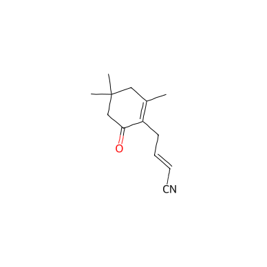 CC1=C(CC=CC#N)C(=O)CC(C)(C)C1